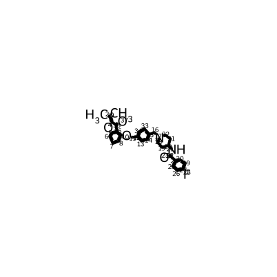 CC(C)=C1Oc2cccc(OCc3ccc(CN4CCC(NC(=O)c5ccc(F)cc5)CC4)cc3)c2C1=O